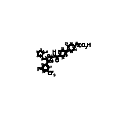 C[C@@H]1CCCN1Cc1sc(NC(=O)c2cnc(N3CCN(CC(=O)O)C[C@H]3C)cn2)nc1-c1cc(F)cc(C(F)(F)F)c1